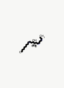 CC/C=C\C/C=C\CC(C(O)C/C=C\CCCCCC[C]=O)[N+](=O)[O-]